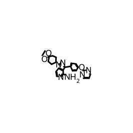 Nc1nccc2c1c(-c1ccc(Oc3ncccn3)cc1)nn2C1CCC2(CC1)OCCO2